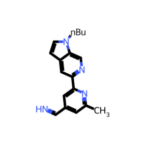 CCCCn1ccc2cc(-c3cc(C=N)cc(C)n3)ncc21